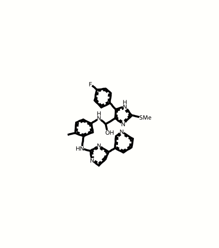 CSc1nc(C(O)Nc2ccc(C)c(Nc3nccc(-c4cccnc4)n3)c2)c(-c2ccc(F)cc2)[nH]1